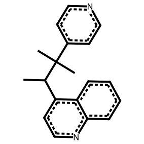 CC(c1ccnc2ccccc12)C(C)(C)c1ccncc1